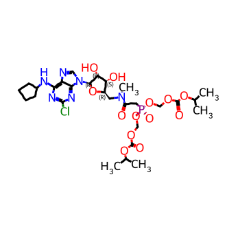 CC(C)OC(=O)OCOP(=O)(CC(=O)N(C)C[C@H]1O[C@@H](n2cnc3c(NC4CCCC4)nc(Cl)nc32)[C@H](O)[C@@H]1O)OCOC(=O)OC(C)C